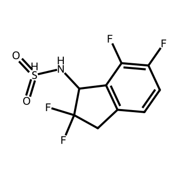 O=[SH](=O)NC1c2c(ccc(F)c2F)CC1(F)F